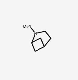 CNN1CCC2CC1C2